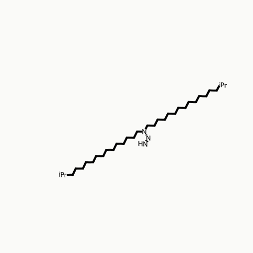 CC(C)CCCCCCCCCCCCCCN(CCCCCCCCCCCCCCC(C)C)N=N